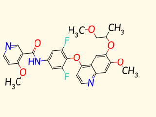 COCC(C)Oc1cc2c(Oc3c(F)cc(NC(=O)c4cnccc4OC)cc3F)ccnc2cc1OC